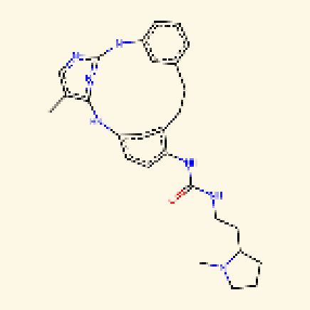 Cc1cnc2nc1Nc1ccc(NC(=O)NCCC3CCCN3C)c(c1)CCc1cccc(c1)N2